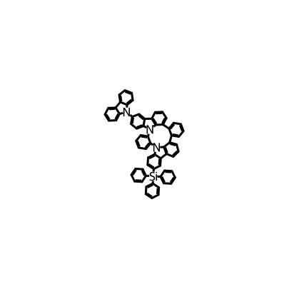 c1ccc([Si](c2ccccc2)(c2ccccc2)c2ccc3c(c2)c2cccc4c5ccccc5c5cccc6c7cc(-n8c9ccccc9c9ccccc98)ccc7n(c7ccccc7n3c42)c56)cc1